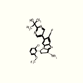 CC(C)(O)c1ncc(-c2cc3c(cc2F)nc2n3[C@@H](c3c(Cl)cccc3OC(F)(F)F)C[C@H]2N)cn1